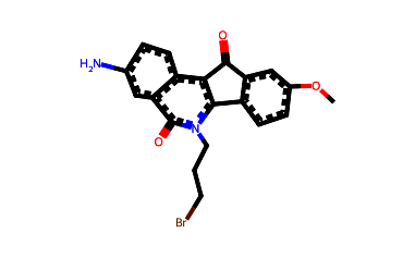 COc1ccc2c(c1)C(=O)c1c-2n(CCCBr)c(=O)c2cc(N)ccc12